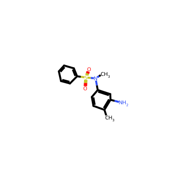 Cc1ccc(N(C)S(=O)(=O)c2ccccc2)cc1N